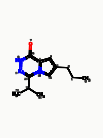 CCCc1cc2c(=O)[nH]nc(C(C)C)n2c1